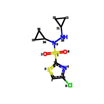 O=S(=O)(c1nc(Cl)cs1)N(NC1CC1)C1CC1